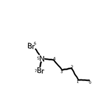 CCCCCN(Br)Br